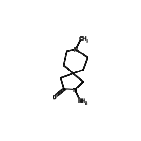 BN1CC2(CCN(C)CC2)CC1=O